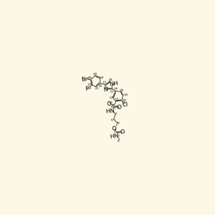 CNC(=O)OCCCNS(=O)(=O)c1cc(-c2nc(-c3ccc(Br)c(F)c3)c[nH]2)ccc1Cl